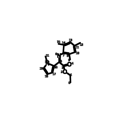 CCOC(=O)/C(=N\c1c(C)cc(C)cc1C)c1cccn1C